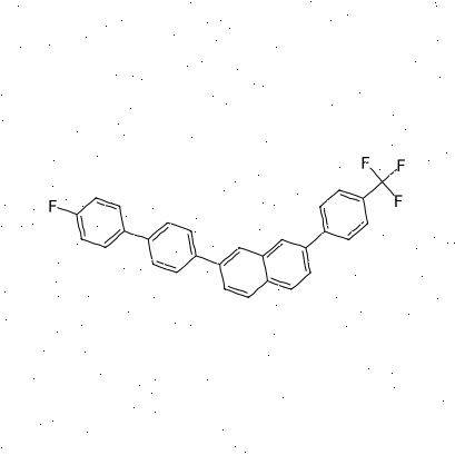 Fc1ccc(-c2ccc(-c3ccc4ccc(-c5ccc(C(F)(F)F)cc5)cc4c3)cc2)cc1